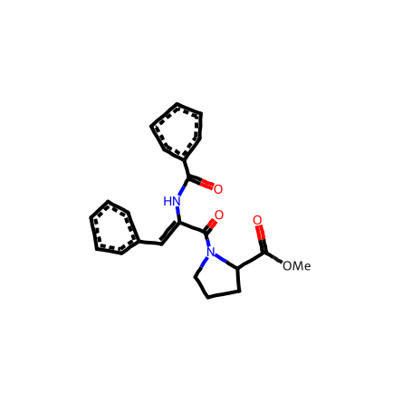 COC(=O)C1CCCN1C(=O)/C(=C/c1ccccc1)NC(=O)c1ccccc1